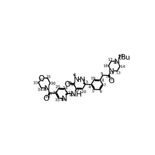 Cn1nc(-c2cccc(CC(=O)N3CCN(C(C)(C)C)CC3)c2)cc(Nc2ccc(C(=O)N3CCOCC3)cn2)c1=O